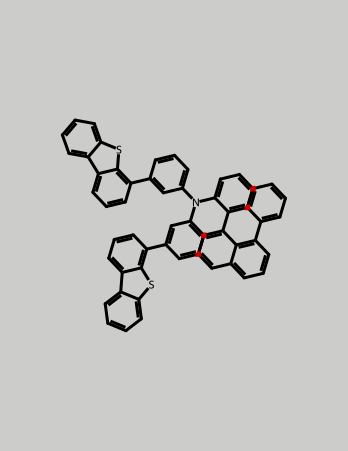 c1ccc(-c2cccc3cccc(-c4ccccc4N(c4cccc(-c5cccc6c5sc5ccccc56)c4)c4cccc(-c5cccc6c5sc5ccccc56)c4)c23)cc1